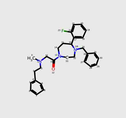 CN(CCc1ccccc1)CC(=O)N1CCC(c2ccccc2F)N(Cc2ccccc2)CC1